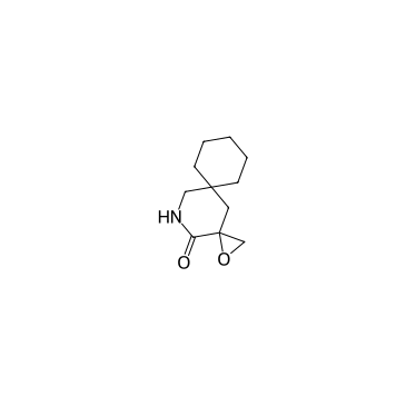 O=C1NCC2(CCCCC2)CC12CO2